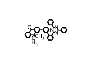 CC1(C)c2ccccc2C(=O)c2ccc(-c3cccc(-c4ccccc4-c4nc(-c5ccccc5)nc(-c5ccccc5)n4)c3)cc21